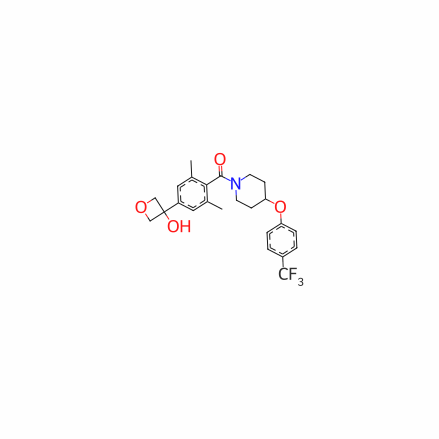 Cc1cc(C2(O)COC2)cc(C)c1C(=O)N1CCC(Oc2ccc(C(F)(F)F)cc2)CC1